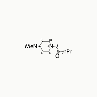 CCCC(=O)CN1CCC(NC)CC1